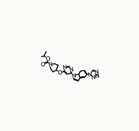 CC(C)OC(=O)N1CCC(Oc2cc(N3C=CC4=CC(n5cnnn5)=CCC43)ncn2)CC1